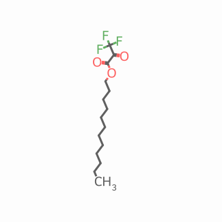 CCCCCCCCCCCCOC(=O)C(=O)C(F)(F)F